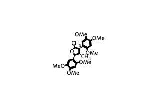 COc1cc(OC)c([C@H]2[C@H](C)[C@@H](c3cc(OC)c(OC)cc3OC)O[C@H]2C)cc1OC